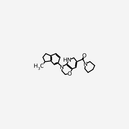 CC1CCc2ccc(N3CCOC4=C3NCC(C(=O)N3CCCCC3)=C4)cc21